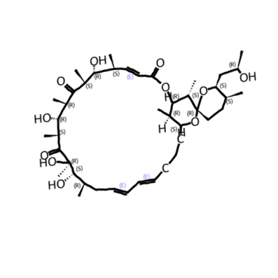 C[C@H]1[C@H]2OC(=O)/C=C/[C@H](C)[C@@H](O)[C@H](C)C(=O)[C@H](C)[C@@H](O)[C@H](C)C(=O)[C@](C)(O)[C@@H](O)[C@H](C)C/C=C/C=C/CCC[C@@H]1O[C@]1(CC[C@H](C)[C@H](C[C@@H](C)O)O1)[C@H]2C